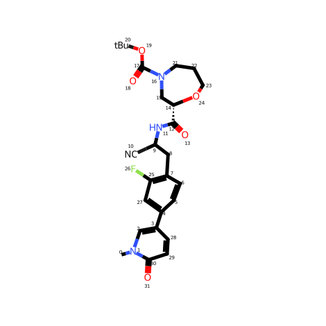 Cn1cc(-c2ccc(CC(C#N)NC(=O)[C@@H]3CN(C(=O)OC(C)(C)C)CCCO3)c(F)c2)ccc1=O